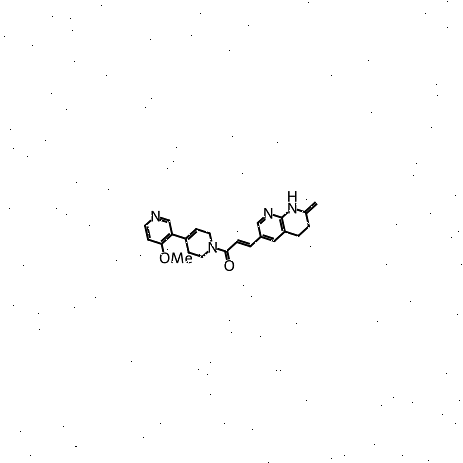 C=C1CCc2cc(/C=C/C(=O)N3CC=C(c4cnccc4OC)CC3)cnc2N1